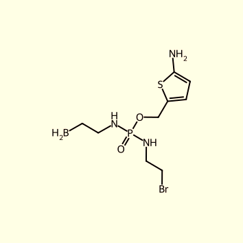 BCCNP(=O)(NCCBr)OCc1ccc(N)s1